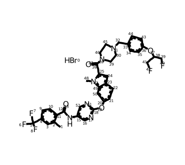 Br.Cc1cc(C(F)(F)F)ccc1C(=O)Nc1cnc(Oc2ccc3cc(C(=O)N4CCN(Cc5ccc(OC(CF)CF)cc5)CC4)n(C)c3c2)nc1